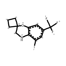 FC(F)(F)c1cc(I)c2c(c1)OC1(CCC1)CN2